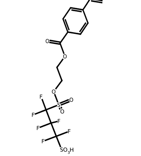 C=Cc1ccc(C(=O)OCCOS(=O)(=O)C(F)(F)C(F)(F)C(F)(F)S(=O)(=O)O)cc1